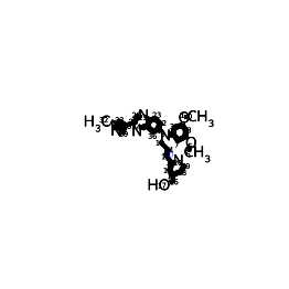 COc1cc(OC)cc(N(C/C=C/c2cc(CO)ccn2)c2ccc3ncc(-c4cnn(C)c4)nc3c2)c1